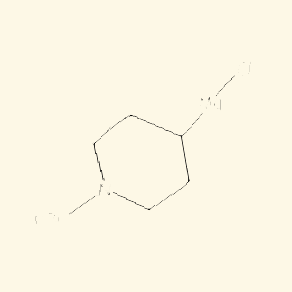 CCCCN1CC[CH]([Mg][Cl])CC1